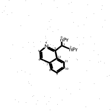 CCCC(CCC)c1nccc2ccccc12